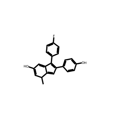 CC1C=C(O)C=C2C1=CC(c1ccc(O)cc1)=C2c1ccc(F)cc1